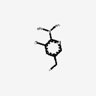 CCCN(CCC)c1ncc(CF)cc1Cl